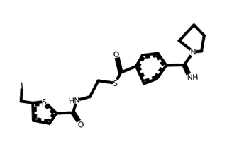 N=C(c1ccc(C(=O)SCCNC(=O)c2ccc(CI)s2)cc1)N1CCCC1